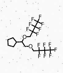 FC(F)(F)C(F)(F)C(F)(F)CO[CH]C(OCC(F)(F)C(F)(F)C(F)(F)F)C1C[CH]CC1